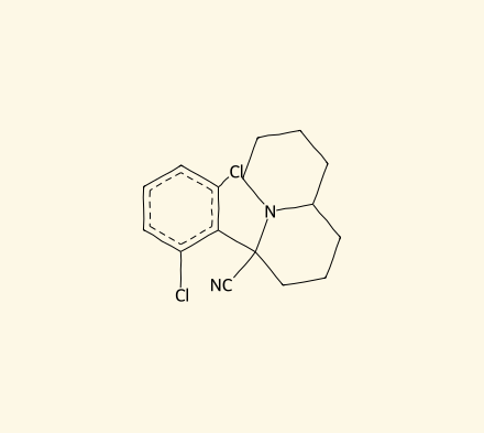 N#CC1(c2c(Cl)cccc2Cl)CCCC2CCCCN21